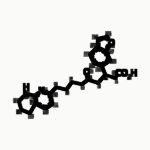 O=C(O)C[C@@H](CC(=O)CCCCc1ccc2c(n1)NCCC2)c1ccc2ccoc2c1